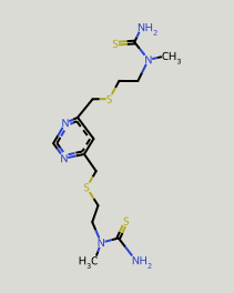 CN(CCSCc1cc(CSCCN(C)C(N)=S)ncn1)C(N)=S